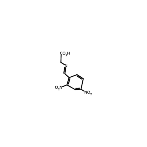 O=C(O)CN=Cc1ccc([N+](=O)[O-])cc1[N+](=O)[O-]